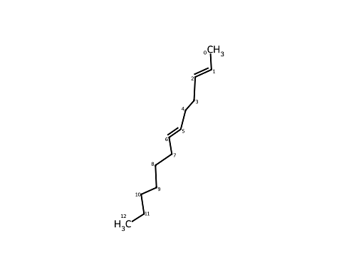 CC=CCCC=CCCCCCC